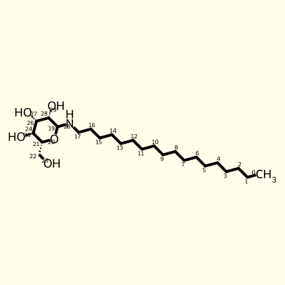 CCCCCCCCCCCCCCCCCCNC1O[C@H](CO)[C@@H](O)[C@H](O)[C@@H]1O